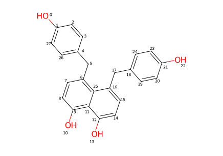 Oc1ccc(Cc2ccc(O)c3c(O)ccc(Cc4ccc(O)cc4)c23)cc1